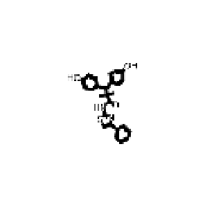 CC(C)(C(=O)Nc1nc(-c2ccccc2)cs1)C(c1ccc(O)cc1)c1ccc(O)cc1